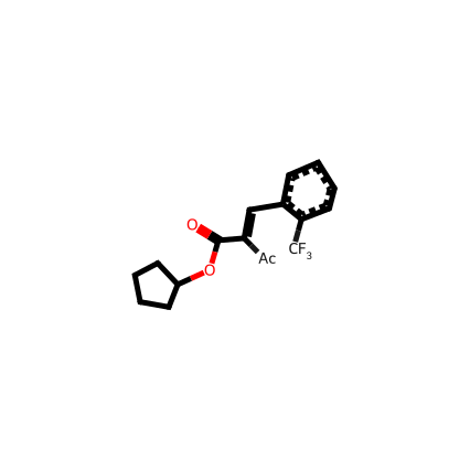 CC(=O)C(=Cc1ccccc1C(F)(F)F)C(=O)OC1CCCC1